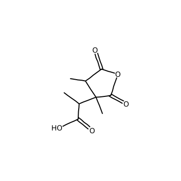 CC(C(=O)O)C1(C)C(=O)OC(=O)C1C